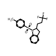 Cc1ccc(S(=O)(=O)N2c3ccccc3CC2CCC(F)(F)F)cc1